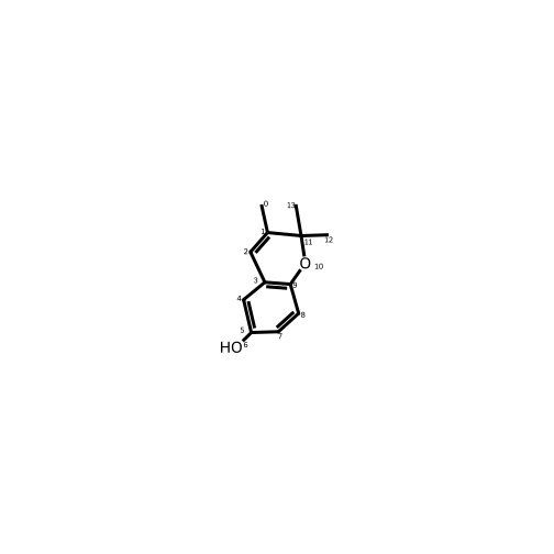 CC1=Cc2cc(O)ccc2OC1(C)C